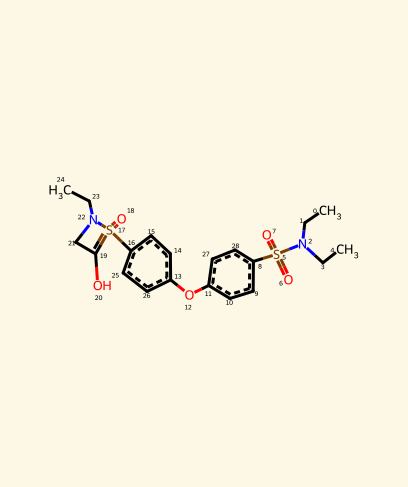 CCN(CC)S(=O)(=O)c1ccc(Oc2ccc(S3(=O)=C(O)CN3CC)cc2)cc1